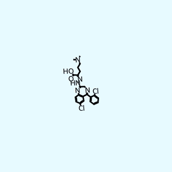 CN(C)CCCC(=NNC1=Nc2ccc(Cl)cc2C(c2ccccc2Cl)=NC1)C(=O)O